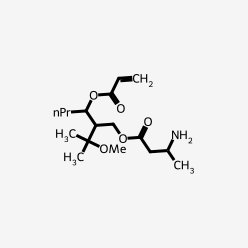 C=CC(=O)OC(CCC)C(COC(=O)CC(C)N)C(C)(C)OC